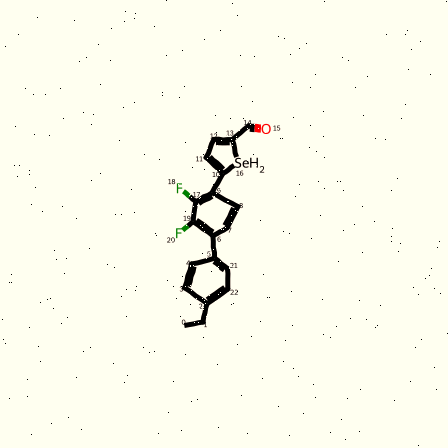 CCc1ccc(-c2ccc(C3=CC=C(C=O)[SeH2]3)c(F)c2F)cc1